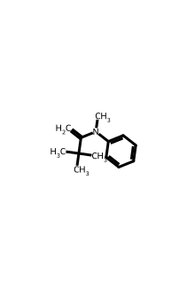 C=C(N(C)c1ccccc1)C(C)(C)C